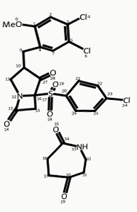 COc1cc(Cl)c(Cl)cc1CC1CN2C(=O)CC2(S(=O)(=O)c2ccc(Cl)cc2)C1=O.O=C1CCNC(=O)CC1